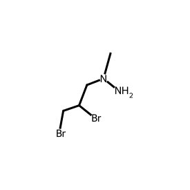 CN(N)CC(Br)CBr